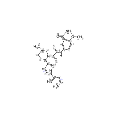 COc1ncc(NC(=O)C(=O)N2C[C@@H](C)CCC2C(=N)/C=C\NC(=N)/C=C\N)cc1C(N)=O